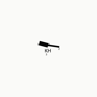 [C]#CC.[KH]